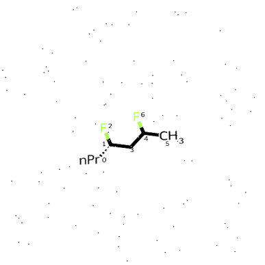 [CH2]CC[C@H](F)CC(C)F